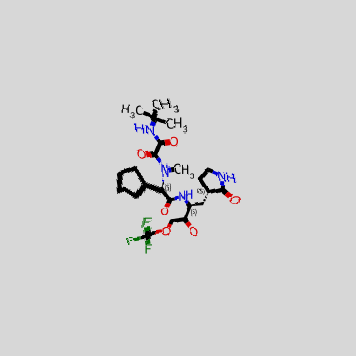 CN(C(=O)C(=O)NC(C)(C)C)[C@H](C(=O)N[C@@H](C[C@@H]1CCNC1=O)C(=O)COC(F)(F)F)C1CCCC1